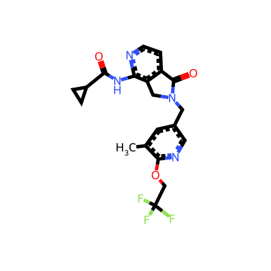 Cc1cc(CN2Cc3c(ccnc3NC(=O)C3CC3)C2=O)cnc1OCC(F)(F)F